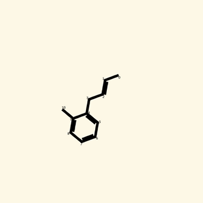 CC=CCc1ccccc1C